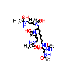 CCC(=O)NCC(NC(=O)CC)C(=O)NCCCCCCC(CN(CCCCNB(C)O)B(C)O)CN(CCCCNB(C)O)B(C)O